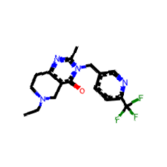 CCN1CCc2nc(C)n(Cc3ccc(C(F)(F)F)nc3)c(=O)c2C1